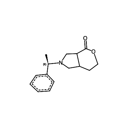 C[C@H](c1ccccc1)N1CC2CCOC(=O)C2C1